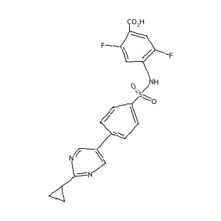 O=C(O)c1cc(F)c(NS(=O)(=O)c2ccc(-c3cnc(C4CC4)nc3)cc2)cc1F